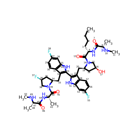 CCCC[C@H](NC(=O)[C@H](C)NC)C(=O)N1C[C@@H](O)C[C@H]1Cc1c(-c2[nH]c3cc(F)ccc3c2C[C@@H]2C[C@H](F)CN2C(=O)[C@H](C)NC(=O)[C@H](C)NC)[nH]c2cc(F)ccc12